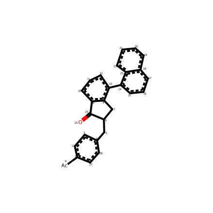 CC(=O)c1ccc(CC2Cc3c(cccc3-c3cccc4ccccc34)C2=O)cc1